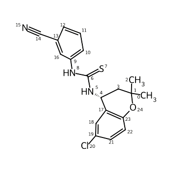 CC1(C)C[C@@H](NC(=S)Nc2cccc(C#N)c2)c2cc(Cl)ccc2O1